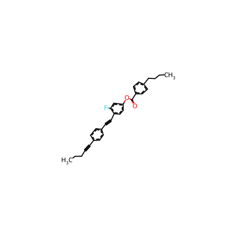 CCCC#Cc1ccc(C#Cc2ccc(OC(=O)c3ccc(CCCC)cc3)cc2F)cc1